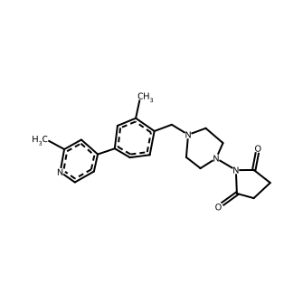 Cc1cc(-c2ccc(CN3CCN(N4C(=O)CCC4=O)CC3)c(C)c2)ccn1